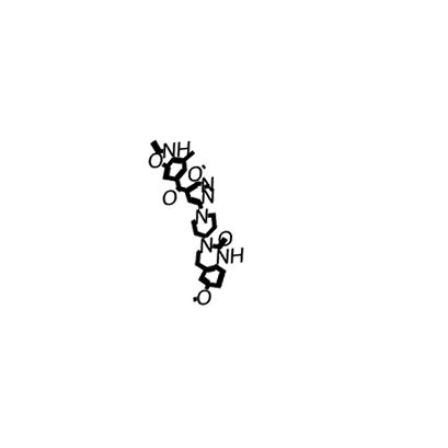 C=C1Nc2c(C)cc(C(=O)c3cc(N4CCC(N5CCc6cc(OC)ccc6NC5=O)CC4)nnc3OC)cc2O1